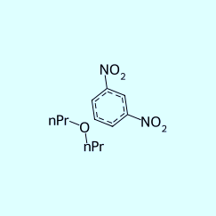 CCCOCCC.O=[N+]([O-])c1cccc([N+](=O)[O-])c1